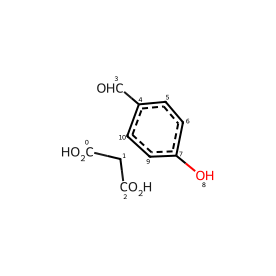 O=C(O)CC(=O)O.O=Cc1ccc(O)cc1